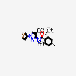 CCOC(=O)c1cn(-c2ccsc2)nc1N(C(=O)[C@H]1CC[C@H](C)CC1)C(C)C